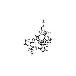 COc1ccc(C)cc1C(=O)O[C@H]1[C@@H]2[C@]3(OC(C)=O)CO[C@@H]3C[C@H](O)[C@@]2(C)C(=O)[C@H](OC(=O)CCSSC)C2=C(C)[C@@H](OC(=O)[C@H](O)[C@H](C=C(C)C)NC(=O)OC(C)(C)C)C[C@]1(O)C2(C)C